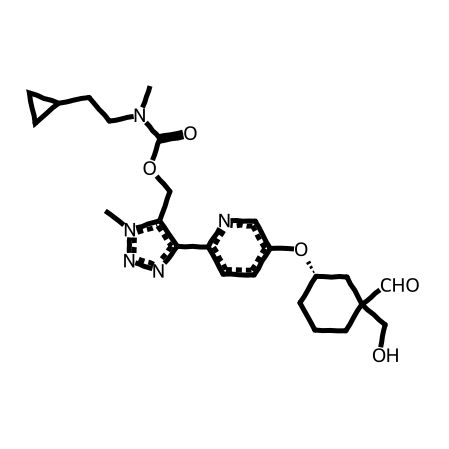 CN(CCC1CC1)C(=O)OCc1c(-c2ccc(O[C@H]3CCCC(C=O)(CO)C3)cn2)nnn1C